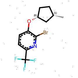 C[C@H]1CC[C@@H](Oc2ccc(C(F)(F)F)nc2Br)C1